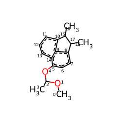 COC(C)Oc1ccc2c3c(cccc13)C(C)C2C